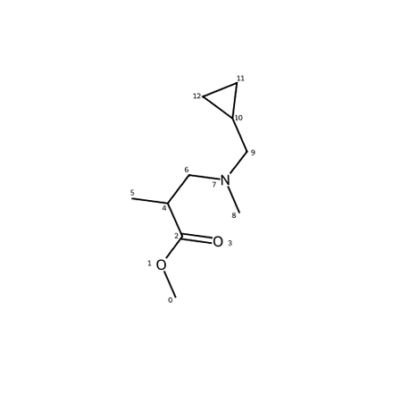 COC(=O)C(C)CN(C)CC1CC1